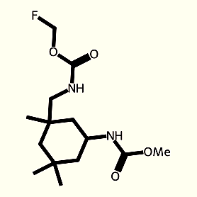 COC(=O)NC1CC(C)(C)CC(C)(CNC(=O)OCF)C1